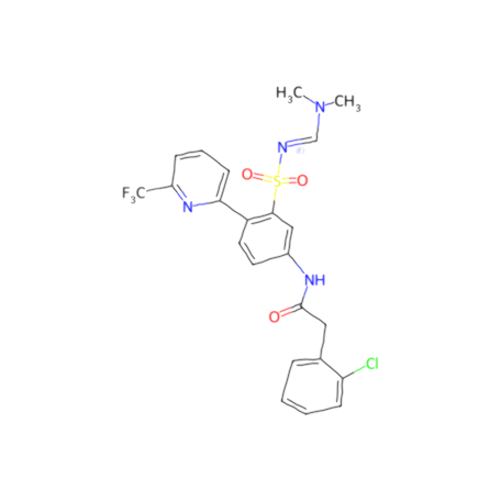 CN(C)/C=N/S(=O)(=O)c1cc(NC(=O)Cc2ccccc2Cl)ccc1-c1cccc(C(F)(F)F)n1